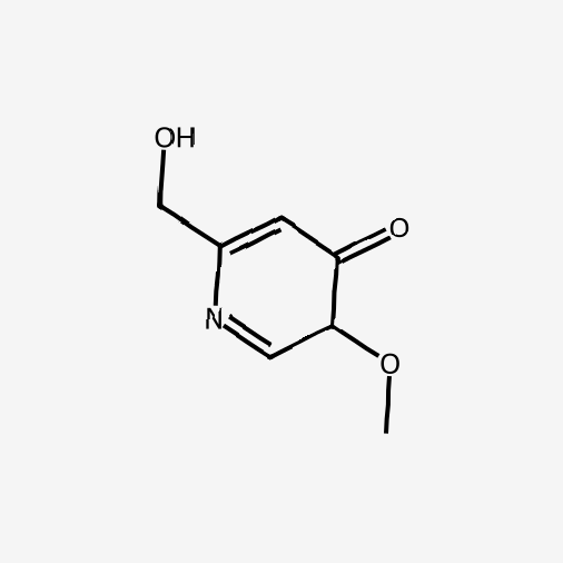 COC1C=NC(CO)=CC1=O